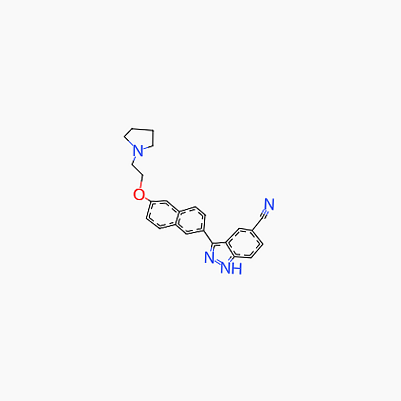 N#Cc1ccc2[nH]nc(-c3ccc4cc(OCCN5CCCC5)ccc4c3)c2c1